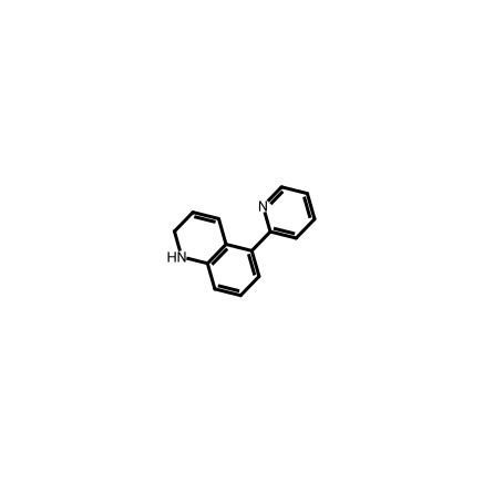 C1=Cc2c(cccc2-c2ccccn2)NC1